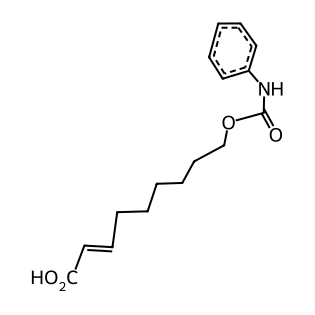 O=C(O)C=CCCCCCCOC(=O)Nc1ccccc1